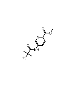 COC(=O)c1ccc(NC(=O)C(C)(C)S)cn1